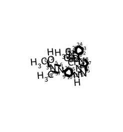 CC(O)CN1CCN(c2ccc(Nc3ncc4ccn(Cc5ccccc5N(C)S(C)(=O)=O)c4n3)cc2)CC1C